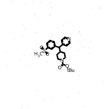 CC(C)(C)OC(=O)N1CCC(C(c2ccncc2)c2cccc(S(C)(=O)=O)c2)CC1